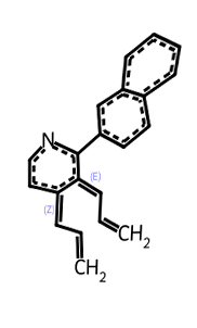 C=C/C=c1/ccnc(-c2ccc3ccccc3c2)/c1=C/C=C